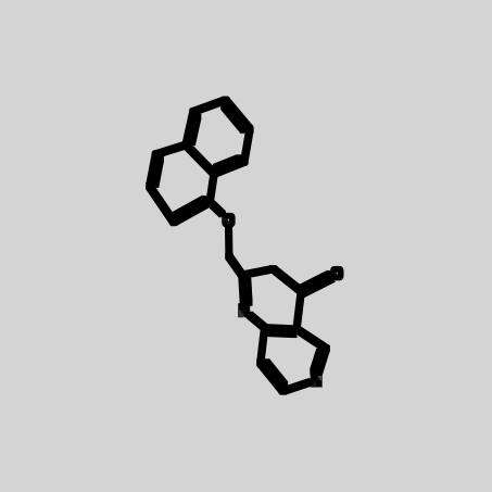 O=C1CC(COc2cccc3ccccc23)=Nc2ccncc21